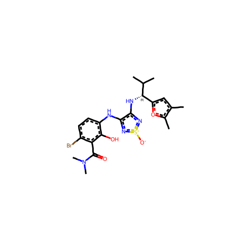 Cc1cc([C@H](Nc2n[s+]([O-])nc2Nc2ccc(Br)c(C(=O)N(C)C)c2O)C(C)C)oc1C